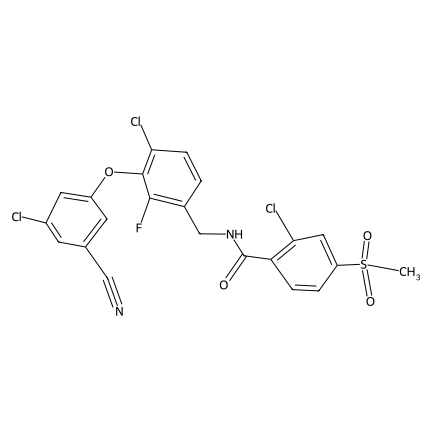 CS(=O)(=O)c1ccc(C(=O)NCc2ccc(Cl)c(Oc3cc(Cl)cc(C#N)c3)c2F)c(Cl)c1